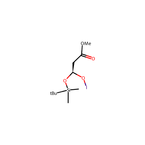 COC(=O)C[C@@H](OI)O[Si](C)(C)C(C)(C)C